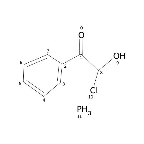 O=C(c1ccccc1)C(O)Cl.P